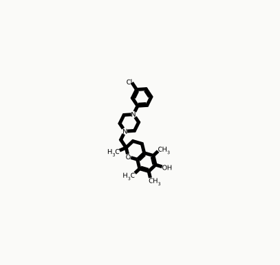 Cc1c(C)c2c(c(C)c1O)CCC(C)(CN1CCN(c3cccc(Cl)c3)CC1)O2